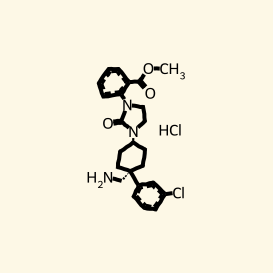 COC(=O)c1ccccc1N1CCN([C@H]2CC[C@](CN)(c3cccc(Cl)c3)CC2)C1=O.Cl